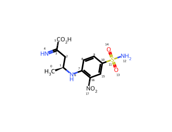 C[C@@H](CC(=N)C(=O)O)Nc1ccc(S(N)(=O)=O)cc1[N+](=O)[O-]